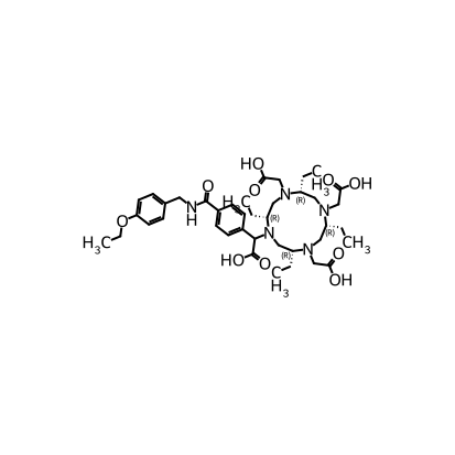 CCOc1ccc(CNC(=O)c2ccc(C(C(=O)O)N3C[C@@H](CC)N(CC(=O)O)C[C@@H](CC)N(CC(=O)O)C[C@@H](CC)N(CC(=O)O)C[C@H]3CC)cc2)cc1